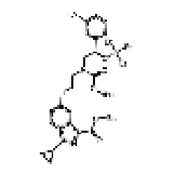 CC[Si](CC)(CC)OC(CN(CCOc1ccc2c(C3CC3)nn(C(=O)OC(C)(C)C)c2c1)C(=O)OC(C)(C)C)c1cccc(N)c1